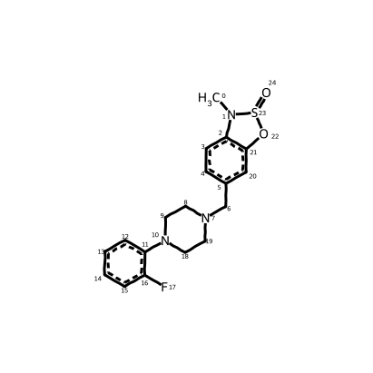 CN1c2ccc(CN3CCN(c4ccccc4F)CC3)cc2OS1=O